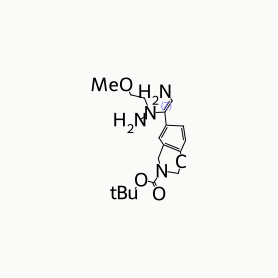 COCCN(N)/C(=C\N)c1ccc2c(c1)CN(C(=O)OC(C)(C)C)CC2